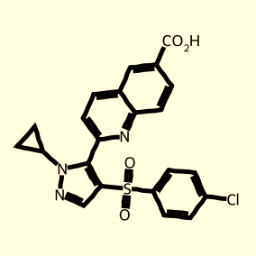 O=C(O)c1ccc2nc(-c3c(S(=O)(=O)c4ccc(Cl)cc4)cnn3C3CC3)ccc2c1